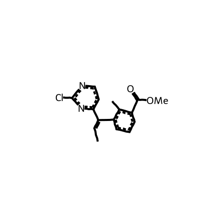 C/C=C(/c1ccnc(Cl)n1)c1cccc(C(=O)OC)c1C